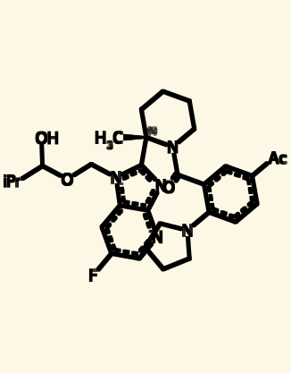 CC(=O)c1ccc(N2CCCC2)c(C(=O)N2CCCC[C@@]2(C)c2nc3ncc(F)cc3n2COC(O)C(C)C)c1